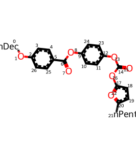 CCCCCCCCCCOc1ccc(C(=O)Oc2ccc(OC(=O)Oc3ccc(CCCCC)o3)cc2)cc1